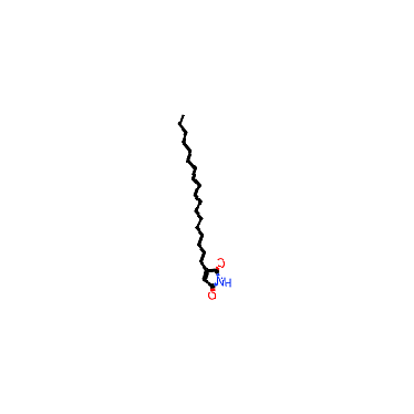 CCCCCCCCCCCCCCCCCCC1=CC(=O)NC1=O